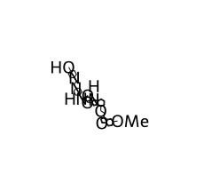 COc1ccc2occ(COc3cccc4[nH]c(OC(=O)NC5CCN(CCN6CCC(O)CC6)CC5)cc34)c2c1